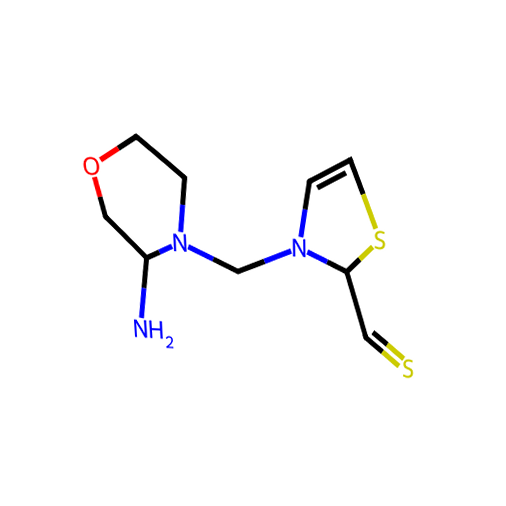 NC1COCCN1CN1C=CSC1C=S